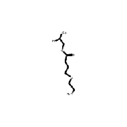 CCCCC(CC)COC(=O)CCCOCCOCC(C)C